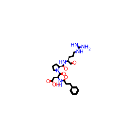 N=C(N)NCCC[C@@H](C=O)NC(=O)[C@@H]1CCCN1C(=O)[C@H](CC(=O)O)NC(=O)CCc1ccccc1